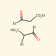 CCC(=O)C(CC)C(=O)O.CCOC(=O)CC(=O)CC